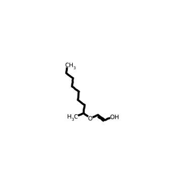 CCCCCCCC(C)O/C=C/O